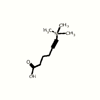 C[Si](C)(C)C#CCCCC(=O)O